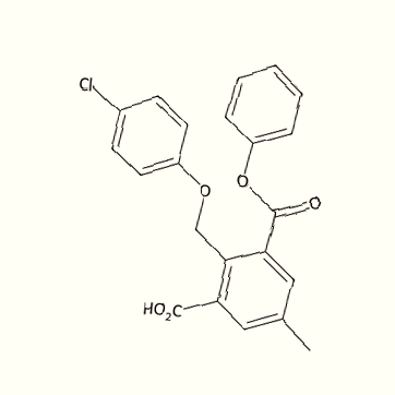 Cc1cc(C(=O)O)c(COc2ccc(Cl)cc2)c(C(=O)Oc2ccccc2)c1